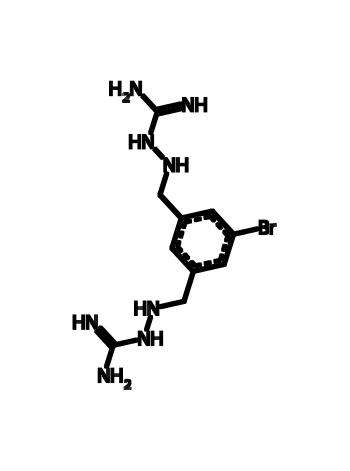 N=C(N)NNCc1cc(Br)cc(CNNC(=N)N)c1